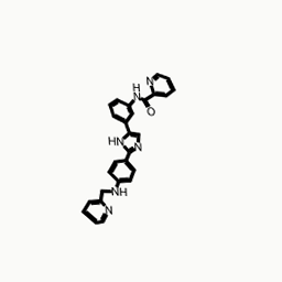 O=C(Nc1cccc(-c2cnc(-c3ccc(NCc4ccccn4)cc3)[nH]2)c1)c1ccccn1